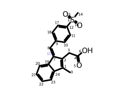 CC1=C(CC(=O)O)/C(=C\c2ccc(S(C)(=O)=O)cc2)c2ccccc21